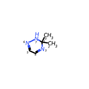 CC1(C)N=CC=NN1